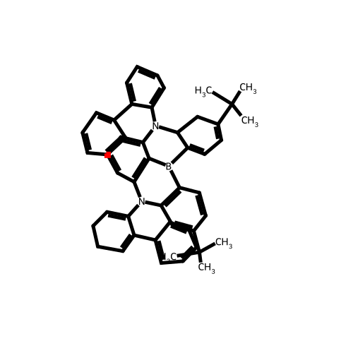 CC(C)(C)C1=CC=C2B3c4ccc(C(C)(C)C)cc4N(C4=CCCC=C4c4ccccc4)c4cccc(c43)N(c3ccccc3-c3ccccc3)C2C1